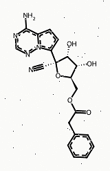 N#C[C@@]1(c2ccc3c(N)ncnn23)O[C@H](COC(=O)Cc2ccccc2)[C@@H](O)[C@H]1O